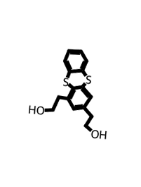 OCCc1cc(CCO)c2c(c1)Sc1ccccc1S2